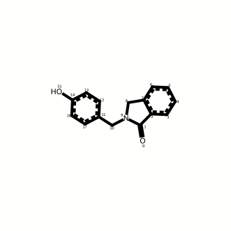 O=C1c2ccccc2CN1Cc1ccc(O)cc1